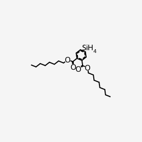 CCCCCCCCOC(=O)c1ccccc1C(=O)OCCCCCCCC.[SiH4]